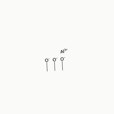 C[O-].C[O-].C[O-].[Al+3]